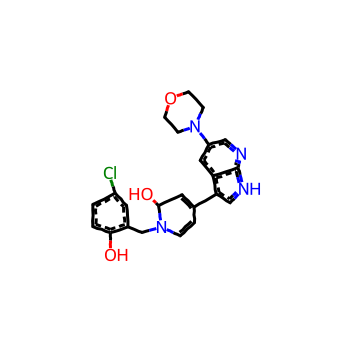 Oc1ccc(Cl)cc1CN1C=CC(c2c[nH]c3ncc(N4CCOCC4)cc23)=CC1O